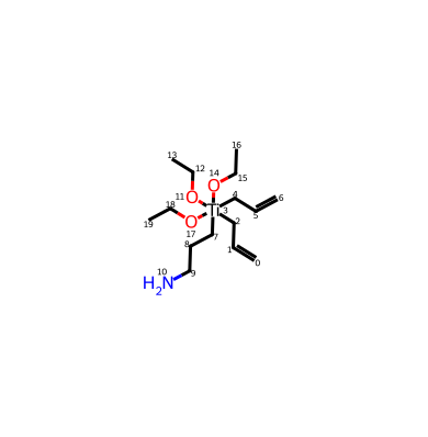 C=C[CH2][Ti]([CH2]C=C)([CH2]CCN)([O]CC)([O]CC)[O]CC